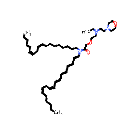 CCCCC/C=C\C/C=C\CCCCCCCCN(CCCCCCCC/C=C\C/C=C\CCCCC)C(=O)COCCN(CC)CCN1CCOCC1